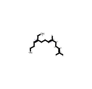 CC(=O)CC/C=C(/CO)CC/C=C(\C)CCC=C(C)C